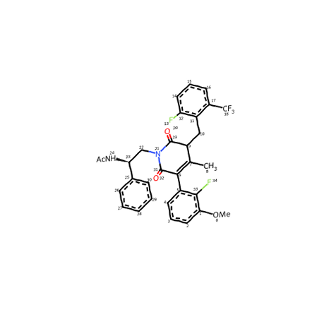 COc1cccc(C2=C(C)C(Cc3c(F)cccc3C(F)(F)F)C(=O)N(C[C@H](NC(C)=O)c3ccccc3)C2=O)c1F